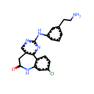 NCCc1cccc(Nc2ncc3c(n2)-c2ccc(Cl)cc2NC(=O)C3)c1